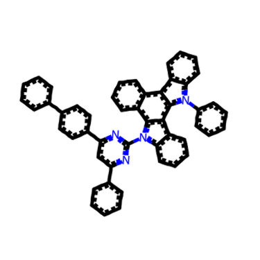 c1ccc(-c2ccc(-c3cc(-c4ccccc4)nc(-n4c5ccccc5c5c4c4ccccc4c4c6ccccc6n(-c6ccccc6)c45)n3)cc2)cc1